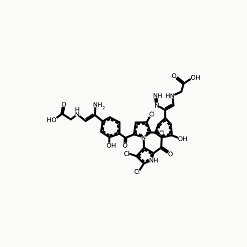 N=N/C(=C\NCC(=O)O)c1ccc(C(=O)c2[nH]c(Cl)c(Cl)c2-n2c(C(=O)c3ccc(/C(N)=C/NCC(=O)O)cc3O)cc(Cl)c2Cl)c(O)c1